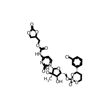 C[C@@]1(O)[C@H](O)[C@@H](COP2(=O)OCC[C@@H](c3cccc(Cl)c3)O2)O[C@H]1n1ccc(NC(=O)OCC2COC(=O)O2)nc1=O